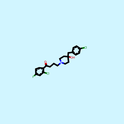 O=C(CCCN1CCC(O)(Cc2ccc(Cl)cc2)CC1)c1ccc(F)cc1Cl